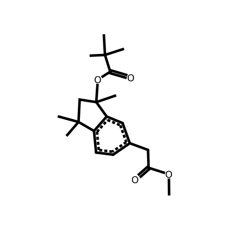 COC(=O)Cc1ccc2c(c1)C(C)(OC(=O)C(C)(C)C)CC2(C)C